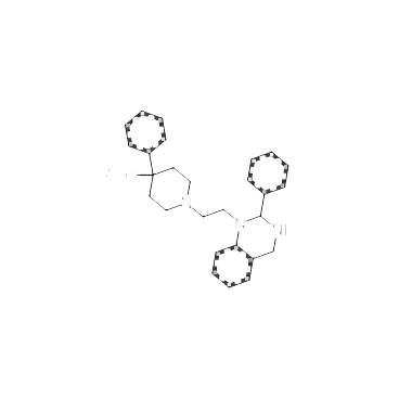 CC(=O)OC1(c2ccccc2)CCN(CCN2c3ccccc3CNC2c2ccccc2)CC1